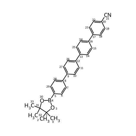 CC1(C)OB(c2ccc(-c3ccc(-c4ccc(-c5ccc(C#N)cc5)cc4)cc3)cc2)OC1(C)C